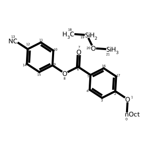 CCCCCCCCOc1ccc(C(=O)Oc2ccc(C#N)cc2)cc1.C[SiH2]O[SiH3]